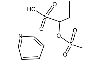 CCC(OS(C)(=O)=O)S(=O)(=O)O.c1ccncc1